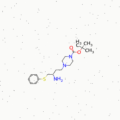 CC(C)(C)OC(=O)N1CCN(CCC(N)CSc2ccccc2)CC1